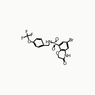 O=C1COc2c(cc(Br)cc2S(=O)(=O)NCc2ccc(OC(F)(F)F)cc2)N1